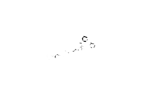 CC(NS(=O)(=O)CCCOCNC(=O)OCCC(N)=O)c1cccc(OC2CCCC2)c1